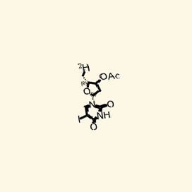 [2H]C[C@H]1O[C@@H](n2cc(I)c(=O)[nH]c2=O)CC1OC(C)=O